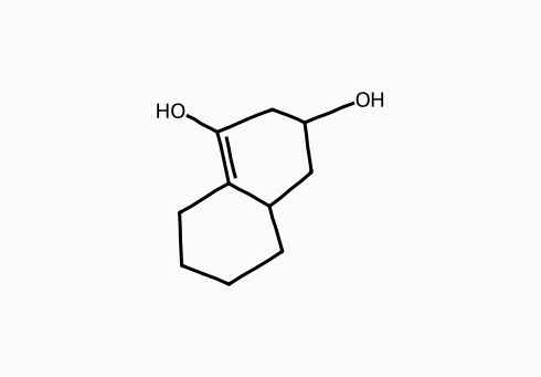 OC1=C2CCCCC2CC(O)C1